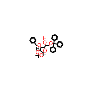 CC1(C)O[C@H]2O[C@H]([C@H](O)COC(c3ccccc3)(c3ccccc3)c3ccccc3)[C@H](OCc3ccccc3)[C@H]2O1